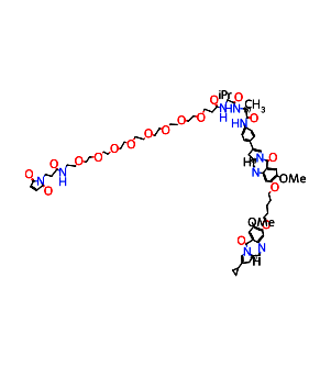 COc1cc2c(cc1OCCCCCOc1cc3c(cc1OC)C(=O)N1C=C(C4CC4)C[C@H]1C=N3)N=C[C@@H]1CC(c3ccc(NC(=O)[C@H](C)NC(=O)C(NC(=O)CCOCCOCCOCCOCCOCCOCCOCCOCCNC(=O)CCN4C(=O)C=CC4=O)C(C)C)cc3)=CN1C2=O